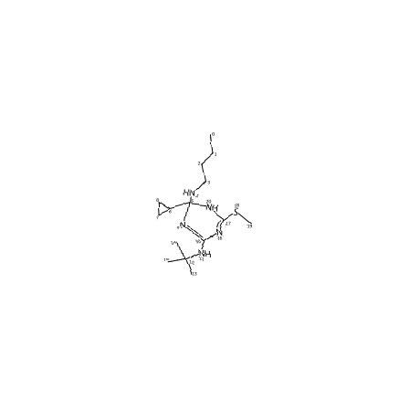 CCCCNC1(C2CC2)N=C(NC(C)(C)C)N=C(SC)N1